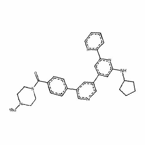 CC(C)(C)N1CCN(C(=O)c2ccc(-c3cncc(-c4cc(NC5CCCC5)nc(-c5ccccn5)c4)c3)cc2)CC1